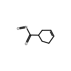 O=NC(=O)C1CC=CCC1